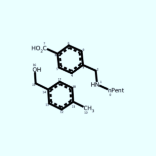 CCCCCNCc1ccc(C(=O)O)cc1.Cc1ccc(CO)cc1